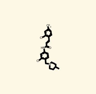 CC1CCN(Cc2ccc(NC(=O)C=Cc3ccc(C(F)(F)F)cc3Cl)cc2Cl)CC1